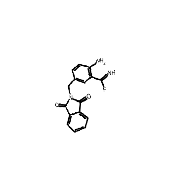 N=C(F)c1cc(CN2C(=O)c3ccccc3C2=O)ccc1N